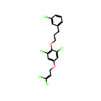 ClC(Cl)=CCOc1cc(Cl)c(OCCCc2cccc(Cl)c2)c(Cl)c1